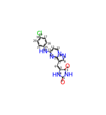 O=C1NC(=O)/C(=C\c2cnn3ccc(Nc4ccc(Cl)cc4)nc23)N1